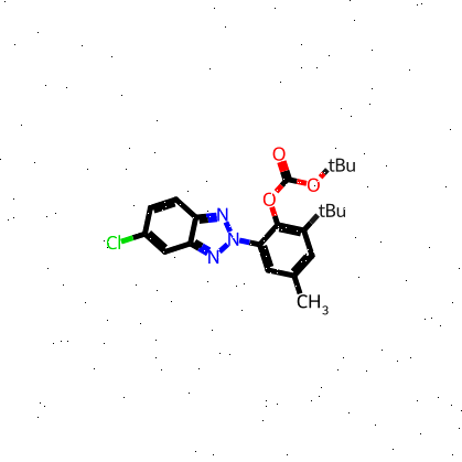 Cc1cc(-n2nc3ccc(Cl)cc3n2)c(OC(=O)OC(C)(C)C)c(C(C)(C)C)c1